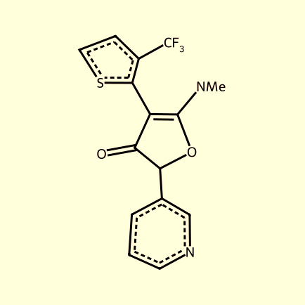 CNC1=C(c2sccc2C(F)(F)F)C(=O)C(c2cccnc2)O1